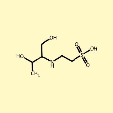 CC(O)C(CO)NCCS(=O)(=O)O